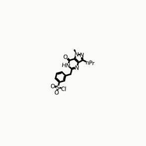 CCCc1nn(C)c2c(=O)[nH]c(Cc3cccc(S(=O)(=O)Cl)c3)nc12